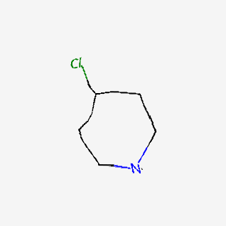 ClC1CC[N]CC1